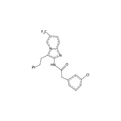 CC(C)CCc1c(NC(=O)Cc2cccc(Cl)c2)nc2ccc(C(F)(F)F)cn12